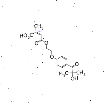 C/C(=C/C(=O)OCCOc1ccc(C(=O)C(C)(C)O)cc1)C(=O)O